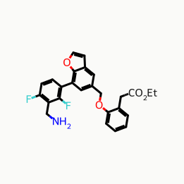 CCOC(=O)Cc1ccccc1OCc1cc(-c2ccc(F)c(CN)c2F)c2occc2c1